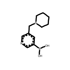 OB(O)c1cncc(CN2CCCCC2)c1